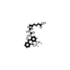 COc1ccccc1C(=O)c1cc(C)ccc1NC(=O)Nc1ncc(CCCC(=O)O)s1